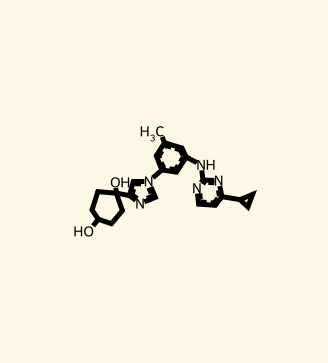 Cc1cc(Nc2nccc(C3CC3)n2)cc(-n2cnc(C3(O)CCC(O)CC3)c2)c1